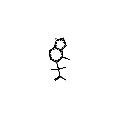 C=C(C)C(C)(C)c1ccc2sccc2c1C